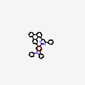 c1ccc(-c2cc(-c3cccc4c5ccccc5c5ccc(-c6ccc7c8ccccc8n(-c8ccccc8)c7c6)cc5c34)nc(-c3ccccc3)n2)cc1